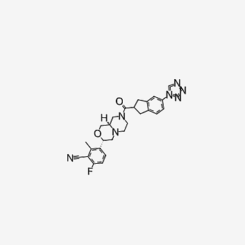 Cc1c([C@H]2CN3CCN(C(=O)C4Cc5ccc(-n6cnnn6)cc5C4)C[C@H]3CO2)ccc(F)c1C#N